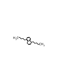 CCCCCc1cccc2c1[CH]C=CC2CCCCC